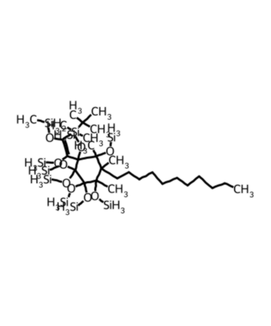 CCCCCCCCCCCC1(C)C(C)(O[SiH3])C(O[SiH3])(O[SiH3])C(O[SiH3])(O[SiH3])C(O[SiH3])(C(O[SiH3])=C(O[SiH2]C)[Si](C)(C)C(C)(C)C)C1(C)O[SiH3]